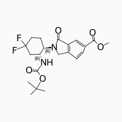 COC(=O)c1ccc2c(c1)C(=O)N([C@@H]1CCC(F)(F)C[C@H]1NC(=O)OC(C)(C)C)C2